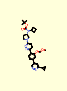 COCOc1cc(-c2cnnc(C3CC3)c2)ccc1-c1ccc(N2CC[C@@H](N(C(=O)OC(C)(C)C)C3CCC3)C2)nn1